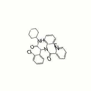 O=C(NC1CCCCC1)C(c1ccccc1Cl)N(C(=O)c1ccccn1)c1ccccc1F